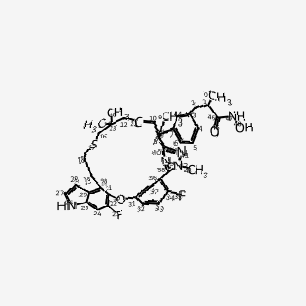 CC(Cc1cccc([C@@]2(C)CCCC(C)(C)CSCCc3c(c(F)cc4[nH]ccc34)Oc3ccc(F)c(c3)-c3nc2nn3C)c1)C(=O)NO